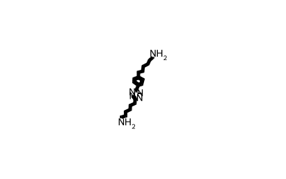 NCCCCCCc1ccc(-c2nnc(CCCCCCN)nn2)cc1